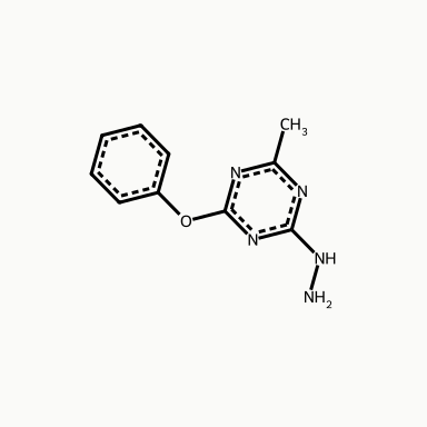 Cc1nc(NN)nc(Oc2ccccc2)n1